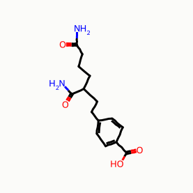 NC(=O)CCCC(CCc1ccc(C(=O)O)cc1)C(N)=O